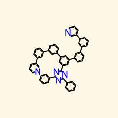 c1ccc(-c2nc(-c3ccccc3)nc(-c3cc(-c4cccc(-c5cccc(-c6cccnc6)c5)c4)cc(-c4cccc(-c5cccc(-c6cccnc6)c5)c4)c3)n2)cc1